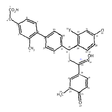 Cc1cc(OC(=O)O)ccc1-c1ccc([C@@H](C/C(=N\O)c2ccc(=O)n(C)c2)c2ccc(Cl)cc2F)cc1